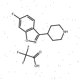 Fc1ccc2c(C3CCNCC3)noc2c1.O=C(O)C(F)(F)F